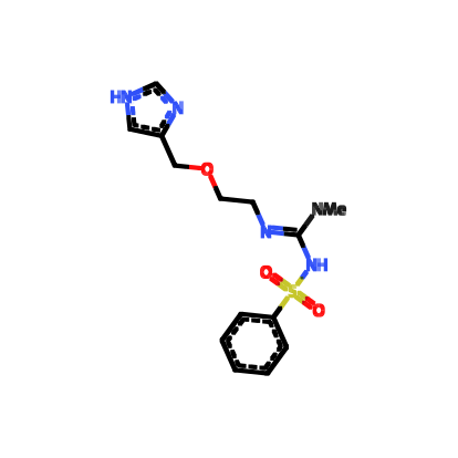 CNC(=NCCOCc1c[nH]cn1)NS(=O)(=O)c1ccccc1